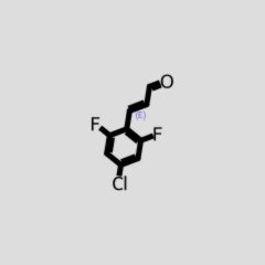 O=C/C=C/c1c(F)cc(Cl)cc1F